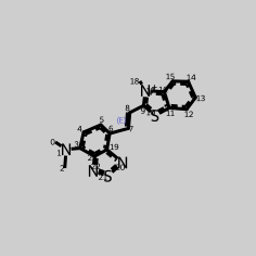 CN(C)c1ccc(/C=C/c2sc3ccccc3[n+]2C)c2nsnc12